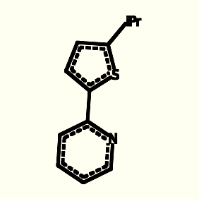 CC(C)c1ccc(-c2ccccn2)s1